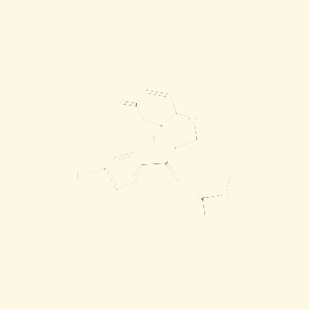 C=C(c1ccc(Br)cc1)C1CO[C@]2(C)C=CC(=O)C[C@H]12.COC(C)=O